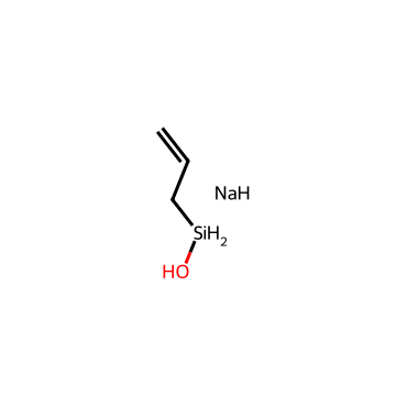 C=CC[SiH2]O.[NaH]